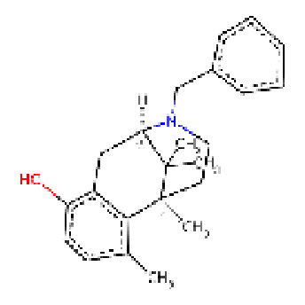 Cc1ccc(O)c2c1[C@]1(C)CCN(Cc3ccccc3)[C@H](C2)C1(C)C